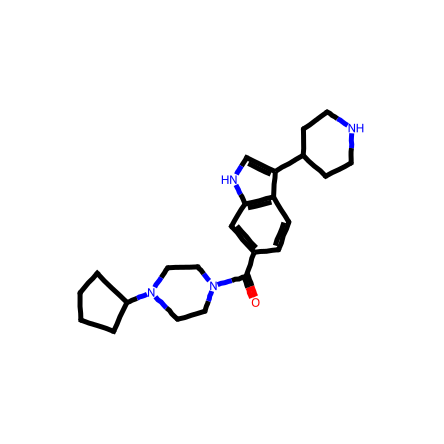 O=C(c1ccc2c(C3CCNCC3)c[nH]c2c1)N1CCN(C2CCCC2)CC1